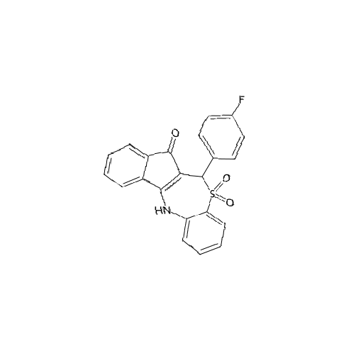 O=C1C2=C(Nc3ccccc3S(=O)(=O)C2c2ccc(F)cc2)c2ccccc21